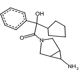 NC1C2CN(C(=O)C(O)(c3ccccc3)C3CCCC3)CC12